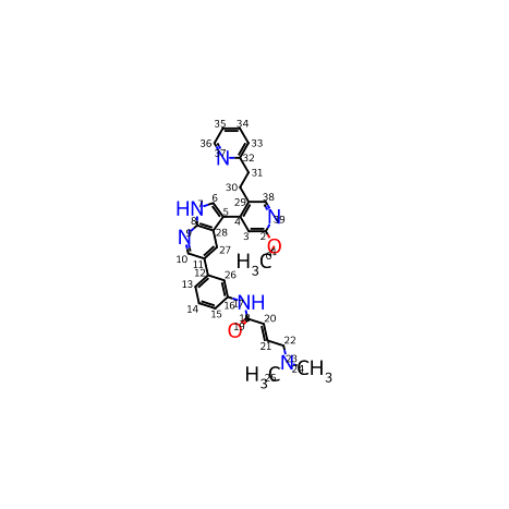 COc1cc(-c2c[nH]c3ncc(-c4cccc(NC(=O)/C=C/CN(C)C)c4)cc23)c(CCc2ccccn2)cn1